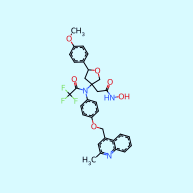 COc1ccc(C2CC(CC(=O)NO)(N(C(=O)C(F)(F)F)c3ccc(OCc4cc(C)nc5ccccc45)cc3)CO2)cc1